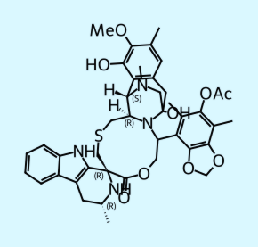 COc1c(C)cc2c(c1O)[C@H]1[C@@H]3CSC[C@]4(N[C@H](C)Cc5c4[nH]c4ccccc54)C(=O)OCC(c4c(C)c(OC(C)=O)c(C)c5c4OCO5)N3C(O)(C2)CN1C